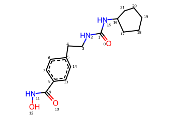 O=C(NCCc1ccc(C(=O)NO)cc1)NC1CCCCC1